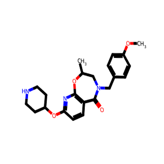 COc1ccc(CN2CC(C)Oc3nc(OC4CCNCC4)ccc3C2=O)cc1